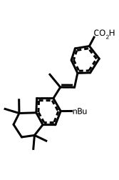 CCCCc1cc2c(cc1C(C)=Cc1ccc(C(=O)O)cc1)C(C)(C)CCC2(C)C